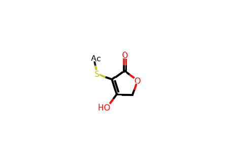 CC(=O)SC1=C(O)COC1=O